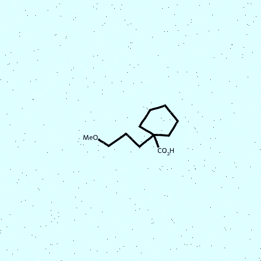 COCCCC1(C(=O)O)CCCCC1